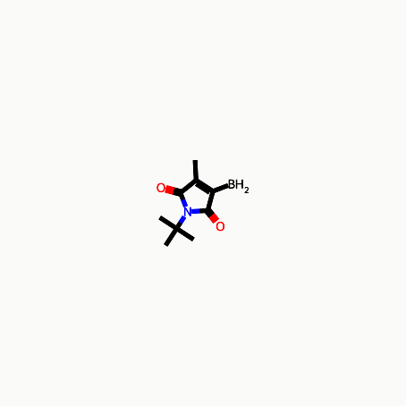 BC1=C(C)C(=O)N(C(C)(C)C)C1=O